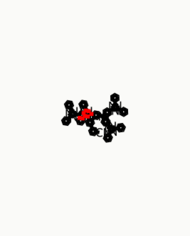 CC1=CCc2cc(-c3nc(-c4ccccc4)nc(-c4ccccc4)n3)ccc2N1c1ccc(-c2cccc(C#N)c2)cc1-c1cc(-n2c3ccc(-c4nc(-c5ccccc5)nc(-c5ccccc5)n4)cc3c3cc(-c4nc(-c5ccccc5)nc(-c5ccccc5)n4)ccc32)ccc1-c1nc(-c2ccccc2)nc(-c2ccccc2)n1